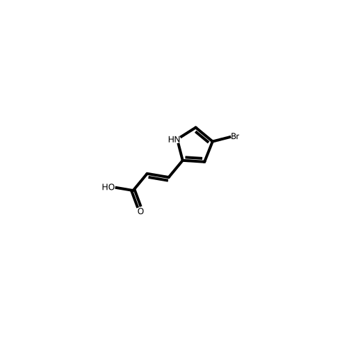 O=C(O)C=Cc1cc(Br)c[nH]1